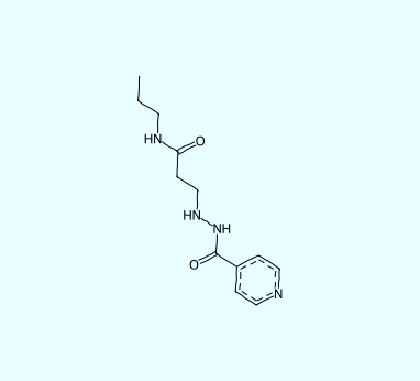 CCCNC(=O)CCNNC(=O)c1ccncc1